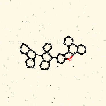 c1ccc2c(c1)cc(-c1c3ccccc3c(-c3ccc4oc5c6ccccc6c6ccccc6c5c4c3)c3ccccc13)c1ccccc12